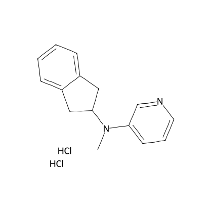 CN(c1cccnc1)C1Cc2ccccc2C1.Cl.Cl